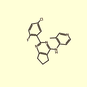 Cc1cnccc1Nc1nc(-c2cc(Cl)ccc2F)nc2c1CCC2